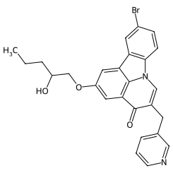 CCCC(O)COc1cc2c(=O)c(Cc3cccnc3)cn3c4ccc(Br)cc4c(c1)c23